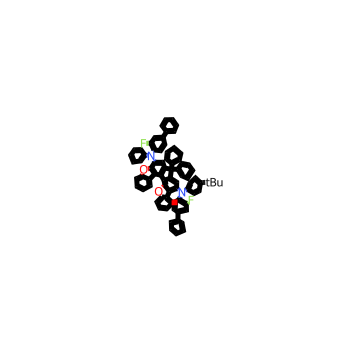 CC(C)(C)c1ccc(N(c2ccc(-c3ccccc3)cc2F)c2cc3c(c4oc5ccccc5c24)-c2c(cc(N(c4ccccc4)c4ccc(-c5ccccc5)cc4F)c4oc5ccccc5c24)C3(c2ccccc2)c2ccccc2)cc1